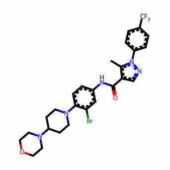 Cc1c(C(=O)Nc2ccc(N3CCC(N4CCOCC4)CC3)c(Br)c2)cnn1-c1ccc(C(F)(F)F)cc1